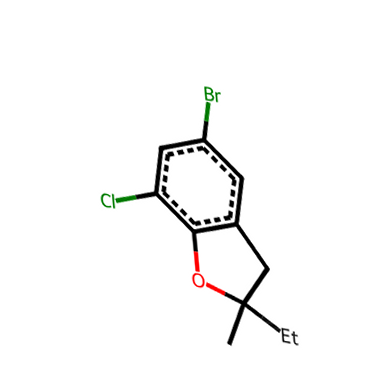 CCC1(C)Cc2cc(Br)cc(Cl)c2O1